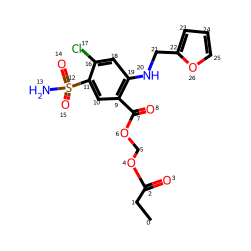 CCC(=O)OCOC(=O)c1cc(S(N)(=O)=O)c(Cl)cc1NCc1ccco1